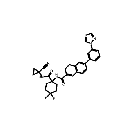 N#CC1(NC(=O)C2(NC(=O)C3=Cc4ccc(-c5cccc(-n6cncn6)c5)cc4CC3)CCC(F)(F)CC2)CC1